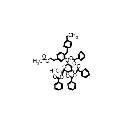 CCc1ccc(Cc2ccc(CCOC(C)=O)cc2O[C@@H]2O[C@H]([C@@H](C)OC(=O)c3ccccc3)[C@@H](OC(=O)c3ccccc3)[C@H](OC(=O)c3ccccc3)[C@H]2OC(=O)c2ccccc2)cc1